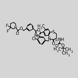 Cc1cc2c(cc1-c1nnc(-c3cccc(COC(=O)N4CCCC(F)(F)C4)c3)o1)N(Cc1ccc(Cl)cc1)C(=O)[C@@H](NC(=O)OC(C)(C)C)CS2